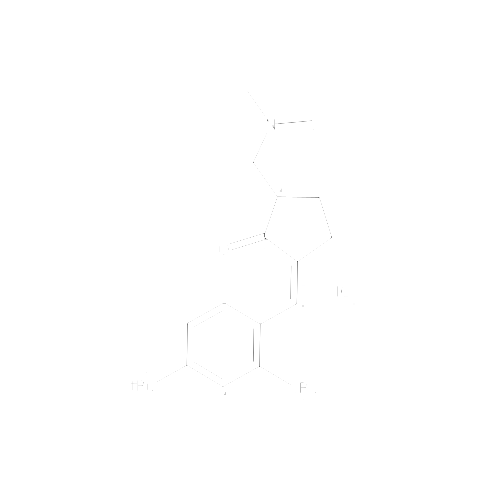 CN(C)CC1CC/C(=C/c2ccc(C(C)(C)C)cc2C(C)(C)C)C1=O.Cl